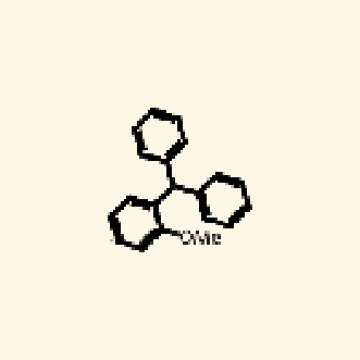 COc1c[c]ccc1C(c1ccccc1)c1ccccc1